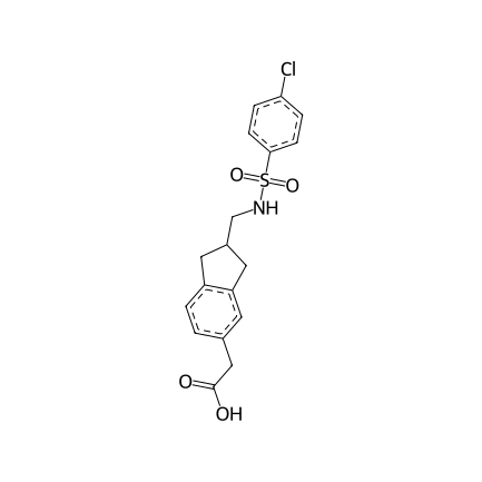 O=C(O)Cc1ccc2c(c1)CC(CNS(=O)(=O)c1ccc(Cl)cc1)C2